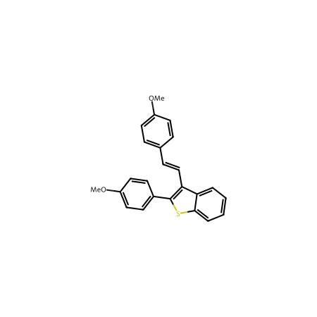 COc1ccc(C=Cc2c(-c3ccc(OC)cc3)sc3ccccc23)cc1